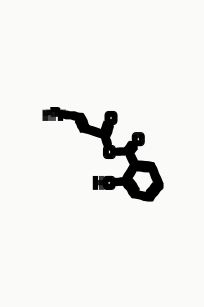 CCCC=CC(=O)OC(=O)c1ccccc1O